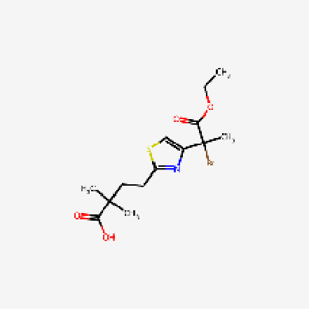 CCOC(=O)C(C)(Br)c1csc(CCC(C)(C)C(=O)O)n1